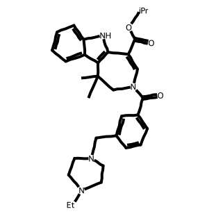 CCN1CCN(Cc2cccc(C(=O)N3C=C(C(=O)OC(C)C)c4[nH]c5ccccc5c4C(C)(C)C3)c2)CC1